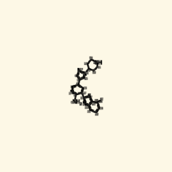 Nc1ncc(-c2cnn(C3CCNCC3)c2)cc1-c1nc2cccc(F)c2s1